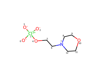 [O-][Cl+3]([O-])([O-])OCCN1CCOCC1